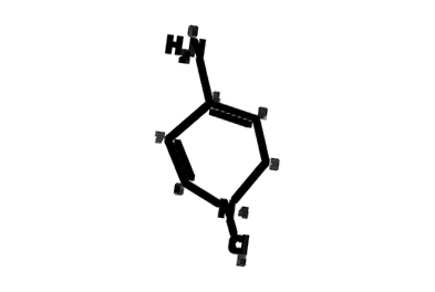 NC1=CCN(Cl)C=C1